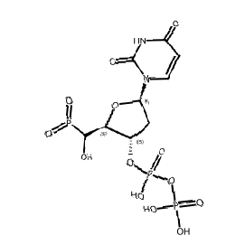 O=c1ccn([C@H]2C[C@H](OP(=O)(O)OP(=O)(O)O)[C@@H](C(O)P(=O)=O)O2)c(=O)[nH]1